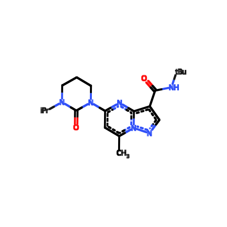 Cc1cc(N2CCCN(C(C)C)C2=O)nc2c(C(=O)NC(C)(C)C)cnn12